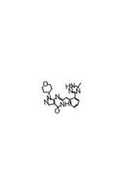 Cc1nc(-c2ccccc2Cc2nc3c(cnn3C3CCOCC3)c(=O)[nH]2)n[nH]1